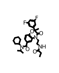 CCC(=O)NCCN1C(=O)C(C)(c2cc(F)cc(F)c2)Oc2ccc(C(=O)N(C(C)C)C3CCCCC3)cc21